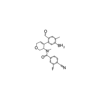 Bc1cc(C2=CCOCC2N(C)C(=O)c2ccc(C#N)c(F)c2)c(C=O)cc1C